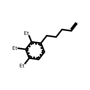 C=CCCCc1ccc(CC)c(CC)c1CC